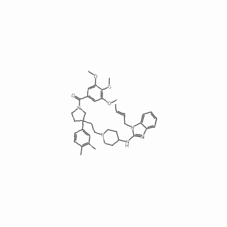 CC=CCn1c(NC2CCN(CCC3(c4ccc(C)c(C)c4)CCN(C(=O)c4cc(OC)c(OC)c(OC)c4)C3)CC2)nc2ccccc21